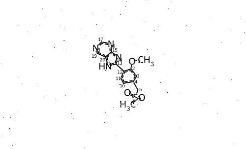 COc1cc(CS(C)(=O)=O)ccc1-c1nc2ncncc2[nH]1